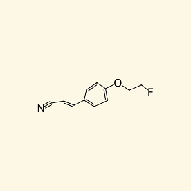 N#CC=Cc1ccc(OCCF)cc1